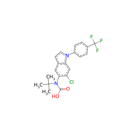 CC(C)(C)N(C(=O)O)c1cc2ccn(-c3ccc(C(F)(F)F)cc3)c2cc1Cl